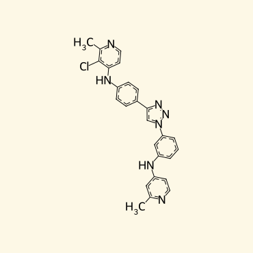 Cc1cc(Nc2cccc(-n3cc(-c4ccc(Nc5ccnc(C)c5Cl)cc4)nn3)c2)ccn1